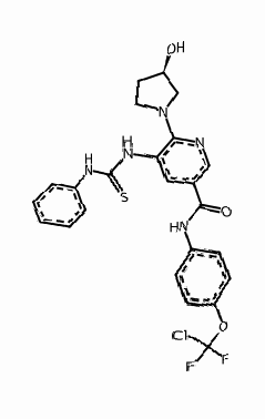 O=C(Nc1ccc(OC(F)(F)Cl)cc1)c1cnc(N2CC[C@@H](O)C2)c(NC(=S)Nc2ccccc2)c1